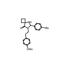 COc1ccc(CCN2C(=O)C3(CCC3)NC2c2ccc(C(C)(C)C)cc2)cc1